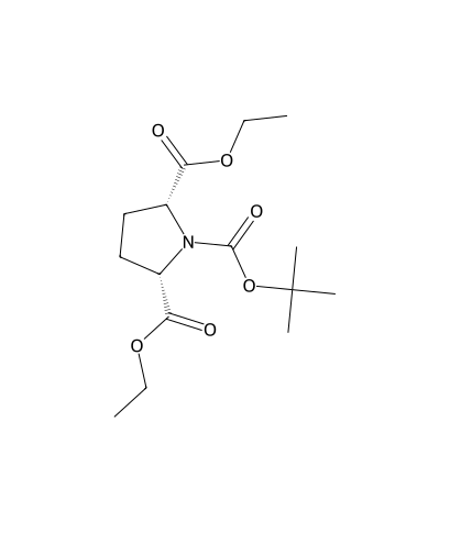 CCOC(=O)[C@H]1CC[C@@H](C(=O)OCC)N1C(=O)OC(C)(C)C